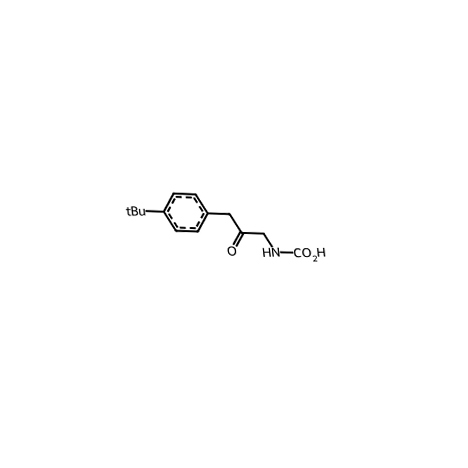 CC(C)(C)c1ccc(CC(=O)CNC(=O)O)cc1